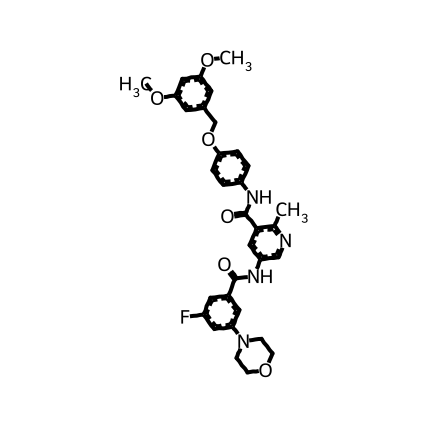 COc1cc(COc2ccc(NC(=O)c3cc(NC(=O)c4cc(F)cc(N5CCOCC5)c4)cnc3C)cc2)cc(OC)c1